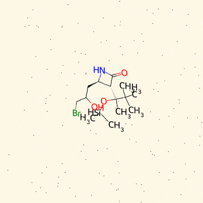 C[SiH](C)OC(C)([C@H]1C(=O)N[C@@H]1CC(O)CBr)C(C)(C)C